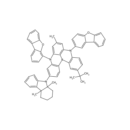 Cc1cc2c3c(c1)N(c1cccc4c1oc1ccccc14)c1cc(N4c5ccccc5C5(C)CCCCC45C)ccc1B3c1cc(C(C)(C)C)ccc1N2c1ccc2oc3ccccc3c2c1